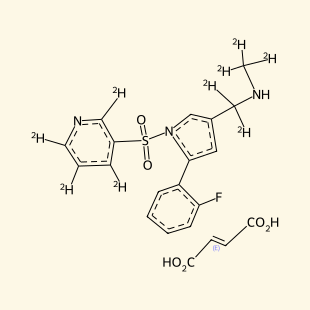 O=C(O)/C=C/C(=O)O.[2H]c1nc([2H])c(S(=O)(=O)n2cc(C([2H])([2H])NC([2H])([2H])[2H])cc2-c2ccccc2F)c([2H])c1[2H]